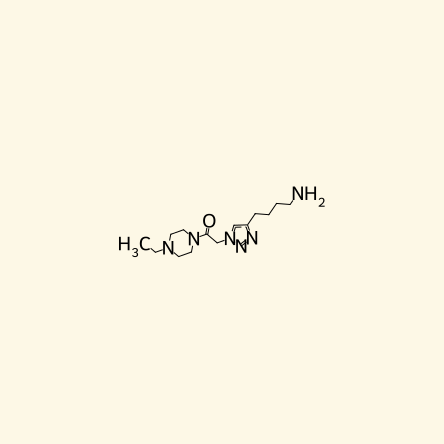 CCN1CCN(C(=O)Cn2cc(CCCCN)nn2)CC1